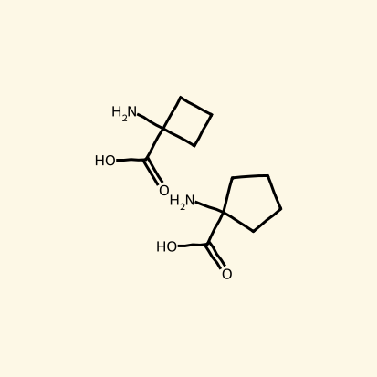 NC1(C(=O)O)CCC1.NC1(C(=O)O)CCCC1